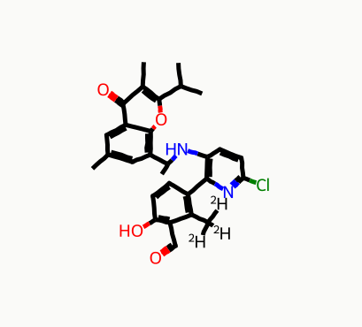 [2H]C([2H])([2H])c1c(-c2nc(Cl)ccc2NC(C)c2cc(C)cc3c(=O)c(C)c(C(C)C)oc23)ccc(O)c1C=O